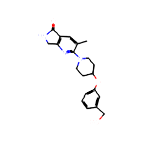 Cc1cc2c(nc1N1CCC(Oc3cccc(CO)c3)CC1)CNC2=O